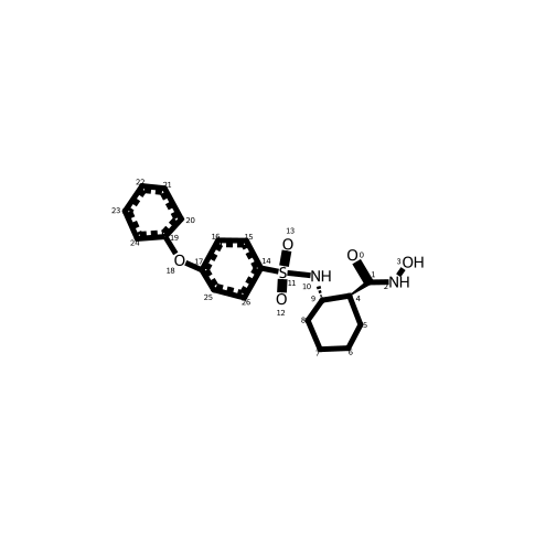 O=C(NO)[C@H]1CCCC[C@@H]1NS(=O)(=O)c1ccc(Oc2ccccc2)cc1